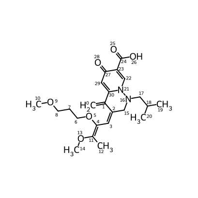 C=C1/C(=C\C(OCCCOC)=C(/C)OC)CN(CC(C)C)n2cc(C(=O)O)c(=O)cc21